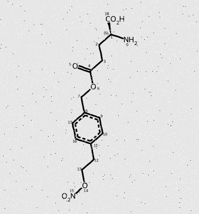 N[C@@H](CCC(=O)OCc1ccc(CCO[N+](=O)[O-])cc1)C(=O)O